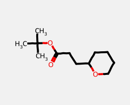 CC(C)(C)OC(=O)CCC1CCCCO1